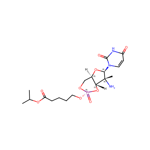 CC(C)OC(=O)CCCCO[P@]1(=O)OC[C@H]2O[C@@H](n3ccc(=O)[nH]c3=O)[C@](C)(N)[C@@H]2O1